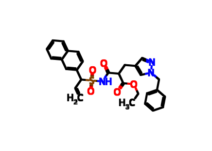 C=CC(c1ccc2ccccc2c1)S(=O)(=O)NC(=O)C(Cc1cnn(Cc2ccccc2)c1)C(=O)OCC